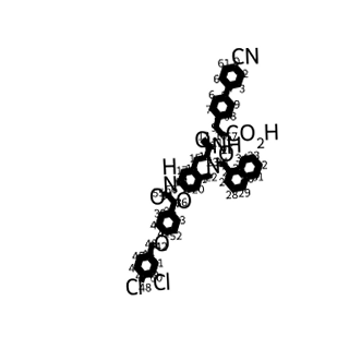 N#Cc1ccc(-c2ccc(C[C@H](NC(=O)C3Cc4cc5c(cc4CN3C(=O)c3cccc4ccccc34)OC(c3ccc(OCc4ccc(Cl)c(Cl)c4)cc3)C(=O)N5)C(=O)O)cc2)cc1